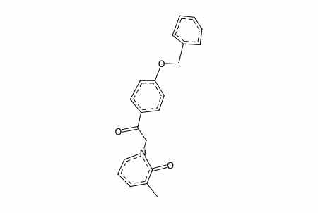 Cc1cccn(CC(=O)c2ccc(OCc3ccccc3)cc2)c1=O